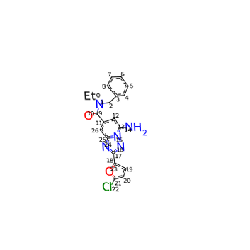 CCN(Cc1ccccc1)C(=O)c1cc(N)n2nc(-c3ccc(Cl)o3)nc2c1